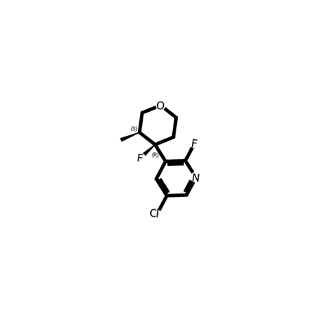 C[C@H]1COCC[C@]1(F)c1cc(Cl)cnc1F